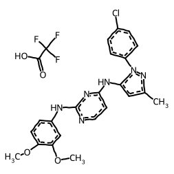 COc1ccc(Nc2nccc(Nc3cc(C)nn3-c3ccc(Cl)cc3)n2)cc1OC.O=C(O)C(F)(F)F